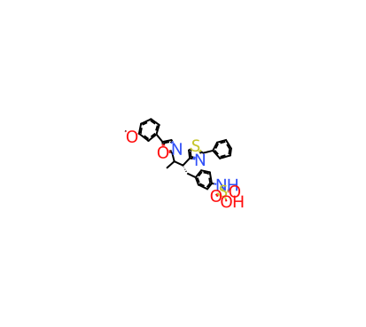 COc1cccc(-c2cnc(C(C)[C@@H](Cc3ccc(NS(=O)(=O)O)cc3)c3csc(-c4ccccc4)n3)o2)c1